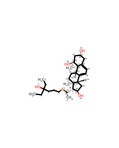 CCC(O)(CC)CCCS[C@@H](C)[C@H]1[C@H](O)C[C@H]2C3=CC=C4C[C@@H](O)C[C@H](O)[C@]4(C)[C@H]3CC[C@]12C